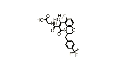 Cc1ccc2c3c1c(O)c(C(=O)NCC(=O)O)c(=O)n3C(Cc1ccc(C(F)(F)F)cc1)CO2